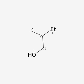 [CH2]C([CH]O)CC